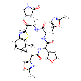 Cc1nc(CC(=O)N[C@H](C(=O)N[C@@H](Cc2cnc(C)o2)C(=O)N[C@@H](C[C@@H]2CCNC2=O)C(=O)c2nc3c(s2)[C@]2(C)C=C2C=C3)C2CCOC2)co1